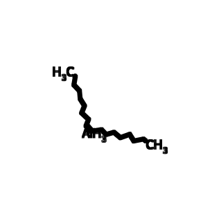 CCCCCCCC/C=C\CCCCCCCC.[AlH3]